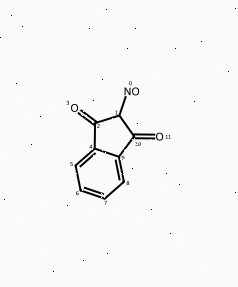 O=NC1C(=O)c2ccccc2C1=O